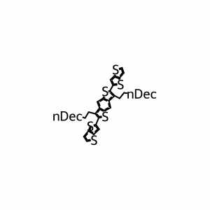 CCCCCCCCCCCCc1c(-c2cc3sccc3s2)sc2cc3c(CCCCCCCCCCCC)c(-c4cc5sccc5s4)sc3cc12